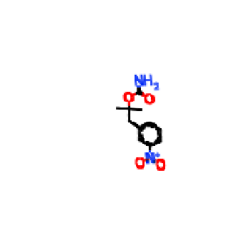 CC(C)(Cc1cccc([N+](=O)[O-])c1)OC(N)=O